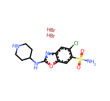 Br.Br.NS(=O)(=O)c1cc2oc(NC3CCNCC3)nc2cc1Cl